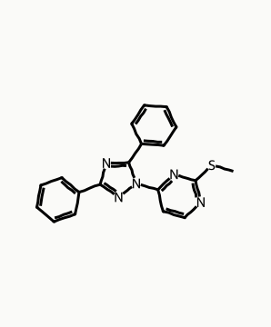 CSc1nccc(-n2nc(-c3ccccc3)nc2-c2ccccc2)n1